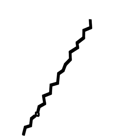 CCCCCCCCCCCCCCCCCOCCCC